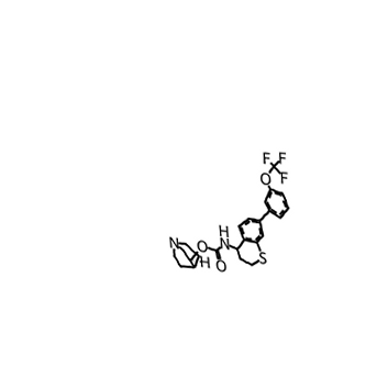 O=C(NC1CCSc2cc(-c3cccc(OC(F)(F)F)c3)ccc21)O[C@@H]1CN2CCC1CC2